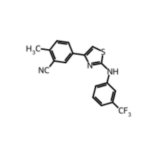 Cc1ccc(-c2csc(Nc3cccc(C(F)(F)F)c3)n2)cc1C#N